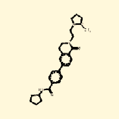 C[C@@H]1CCCN1CCN1CCc2cc(-c3ccc(C(=O)NC4CCCC4)cc3)ccc2C1=O